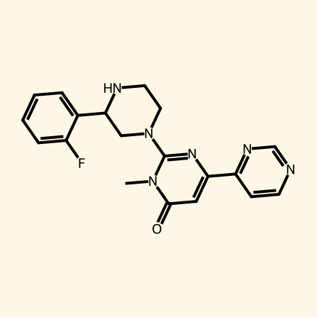 Cn1c(N2CCNC(c3ccccc3F)C2)nc(-c2ccncn2)cc1=O